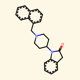 O=C1Cc2ccccc2N1C1CCN(Cc2cccc3ccccc23)CC1